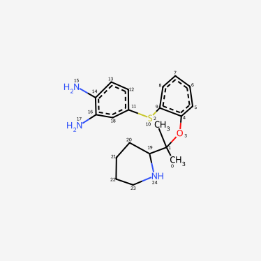 CC(C)(Oc1ccccc1Sc1ccc(N)c(N)c1)C1CCCCN1